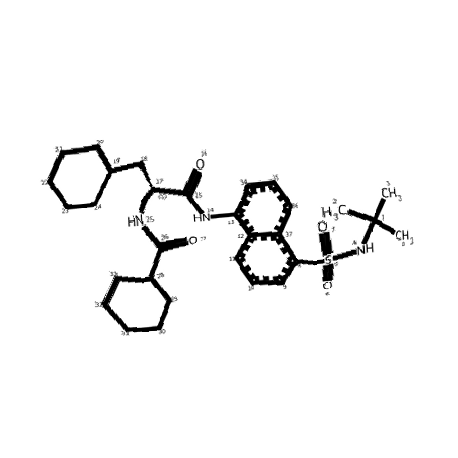 CC(C)(C)NS(=O)(=O)c1cccc2c(NC(=O)[C@H](CC3CCCCC3)NC(=O)C3CCCCC3)cccc12